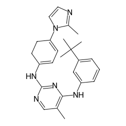 Cc1cnc(NC2=CC=C(n3ccnc3C)CC2)nc1Nc1cccc(C(C)(C)C)c1